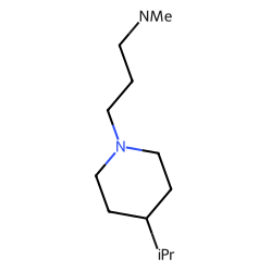 CNCCCN1CCC(C(C)C)CC1